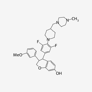 COc1cccc(C2COc3cc(O)ccc3C2c2cc(F)c(N3CCC(CN4CCN(C)CC4)CC3)c(F)c2)c1